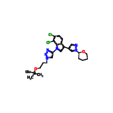 CC(C)(C)[Si](C)(C)OCCCn1cc(-n2cc(-c3cnn(C4CCCCO4)c3)c3ccc(Cl)c(Cl)c32)nn1